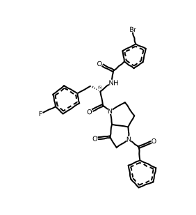 O=C(N[C@@H](Cc1ccc(F)cc1)C(=O)N1CCC2C1C(=O)CN2C(=O)c1ccccc1)c1cccc(Br)c1